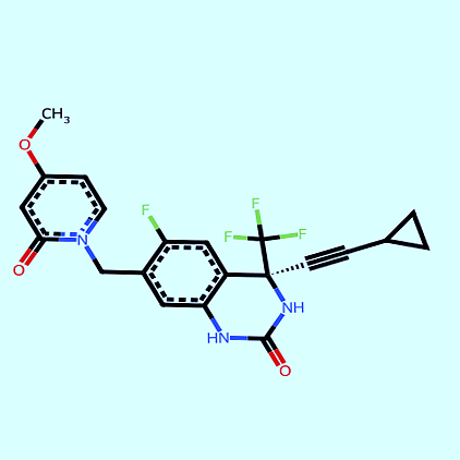 COc1ccn(Cc2cc3c(cc2F)[C@@](C#CC2CC2)(C(F)(F)F)NC(=O)N3)c(=O)c1